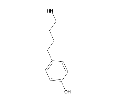 [NH]CCCCc1ccc(O)cc1